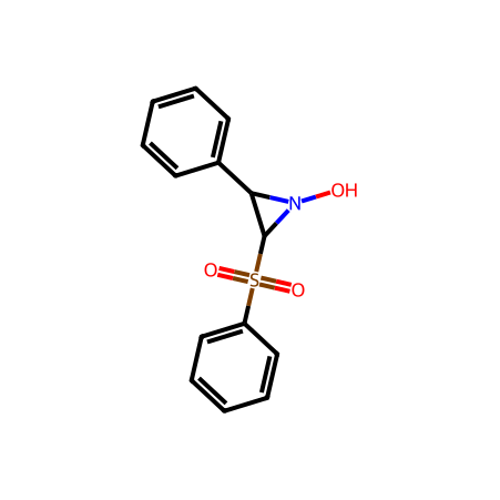 O=S(=O)(c1ccccc1)C1C(c2ccccc2)N1O